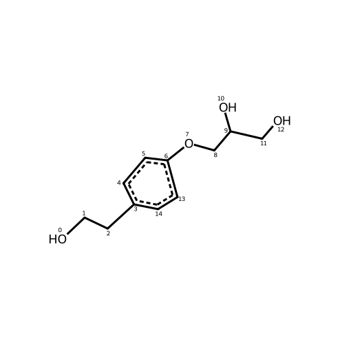 OCCc1ccc(OCC(O)CO)cc1